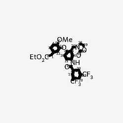 CCOC(=O)Cc1ccc(OC)c(Oc2ccc(NC(=O)c3cc(C(F)(F)F)cc(C(F)(F)F)c3)cc2CN2CCOC2=O)c1